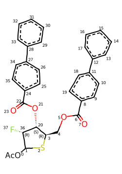 CC(=O)OC1S[C@H](COC(=O)c2ccc(-c3ccccc3)cc2)[C@@H](OC(=O)c2ccc(-c3ccccc3)cc2)[C@H]1F